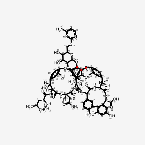 CN[C@@H](CC(C)C)C(=O)N[C@H]1C(=O)N[C@@H](CC(N)=O)C(=O)NC2C(=O)NC3C(=O)N[C@H](C(=O)N[C@@H](C(=O)O)c4cc(O)cc(O)c4-c4cc3ccc4O)[C@H](O)c3ccc(c(Cl)c3)Oc3cc2cc(c3OC2OC(CSc3nccc(N)n3)C(O)C(O)C2OC2CC(C)(N)C(O)C(C)O2)Oc2ccc(cc2Cl)[C@H]1O